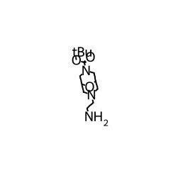 CC(C)(C)OC(=O)N1CC2CN(CCN)CC(C1)O2